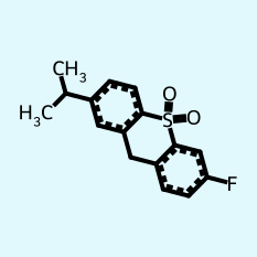 CC(C)c1ccc2c(c1)Cc1ccc(F)cc1S2(=O)=O